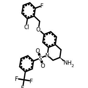 N[C@@H]1Cc2ccc(OCc3c(F)cccc3Cl)cc2N(S(=O)(=O)c2cccc(C(F)(F)F)c2)C1